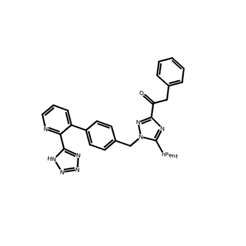 CCCCCc1nc(C(=O)Cc2ccccc2)nn1Cc1ccc(-c2cccnc2-c2nnn[nH]2)cc1